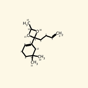 C=CCCC1(C2=CCCC(C)(C)C2)OC(C)O1